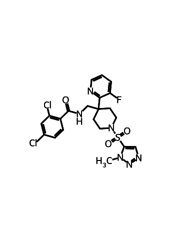 Cn1nncc1S(=O)(=O)N1CCC(CNC(=O)c2ccc(Cl)cc2Cl)(c2ncccc2F)CC1